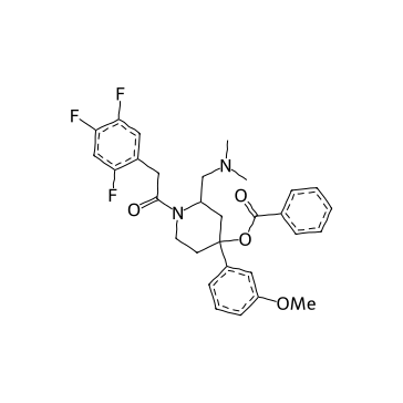 COc1cccc(C2(OC(=O)c3ccccc3)CCN(C(=O)Cc3cc(F)c(F)cc3F)C(CN(C)C)C2)c1